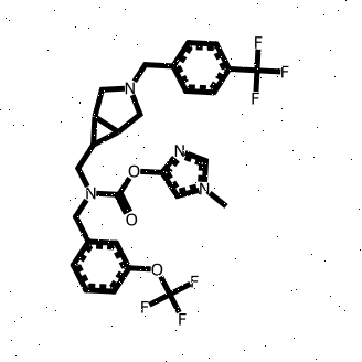 Cn1cnc(OC(=O)N(Cc2cccc(OC(F)(F)F)c2)CC2C3CN(Cc4ccc(C(F)(F)F)cc4)CC32)c1